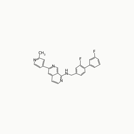 Cc1cc(-c2cc3ccnc(NCc4ccc(-c5cccc(F)c5)c(F)c4)c3cn2)ccn1